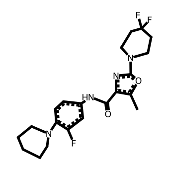 Cc1oc(N2CCC(F)(F)CC2)nc1C(=O)Nc1ccc(N2CCCCC2)c(F)c1